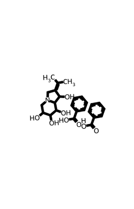 CC(C)=C1CN2CC(O)C(O)C(O)C2C1O.O=C(O)c1ccccc1.O=C(O)c1ccccc1